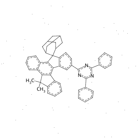 CC1(C)c2ccccc2-c2c3c(c4ccccc4c21)C1(c2ccc(-c4nc(-c5ccccc5)nc(-c5ccccc5)n4)cc2-3)C2CC3CC(C2)CC1C3